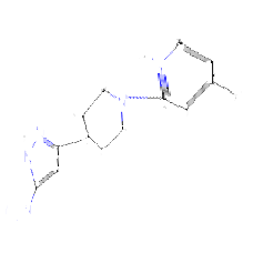 Nc1cc(C2CCN(c3cc(C(F)(F)F)ccn3)CC2)n[nH]1